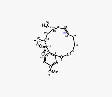 COc1ccc2c(c1)OCCCC/C=C/C[C@@H](C)CN(C)S2(=O)=O